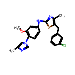 COc1cc(Nc2nc(C)c(Cc3cccc(Cl)c3)s2)ccc1-n1cnc(C)c1